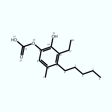 CCCCCc1c(C)cc(OC(=O)O)c(O)c1CC